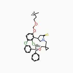 CC(C)(C)[Si](OCC1(CN2CC(c3c(OCOCC[Si](C)(C)C)ccc(Cl)c3Cl)CC2=S)CC1)(c1ccccc1)c1ccccc1